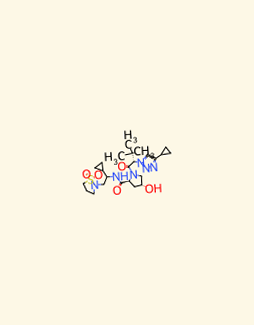 CC(C)(C)[C@@H](C(=O)N1C[C@H](O)C[C@H]1C(=O)NC(CN1CCCS1(=O)=O)C1CC1)n1cc(C2CC2)nn1